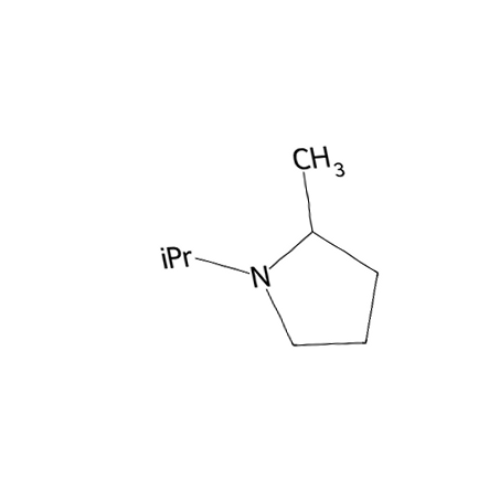 CC(C)N1CCCC1C